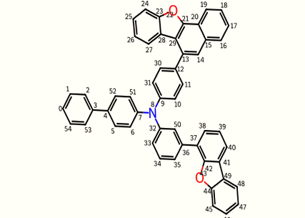 c1ccc(-c2ccc(N(c3ccc(-c4cc5ccccc5c5oc6ccccc6c45)cc3)c3cccc(-c4cccc5c4oc4ccccc45)c3)cc2)cc1